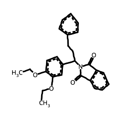 CCOc1ccc(C(CCc2ccccc2)N2C(=O)c3ccccc3C2=O)cc1OCC